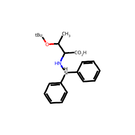 CC(OC(C)(C)C)C(N[SiH](c1ccccc1)c1ccccc1)C(=O)O